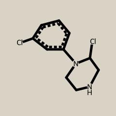 Clc1cccc(N2CCNCC2Cl)c1